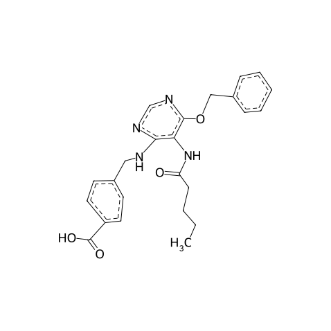 CCCCC(=O)Nc1c(NCc2ccc(C(=O)O)cc2)ncnc1OCc1ccccc1